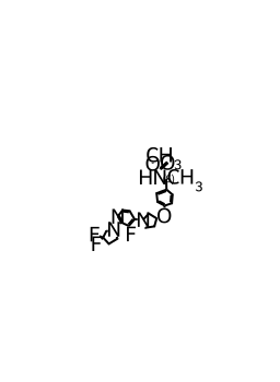 COC(=O)N[C@@H](C)c1ccc(OC2CCN(c3ccnc(N4CCC(F)(F)C4)c3F)C2)cc1